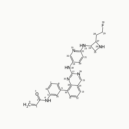 C=CC(=O)Nc1cccc(-c2cccc3cnc(Nc4ccc(NC5CNC5CCF)nc4)nc23)c1